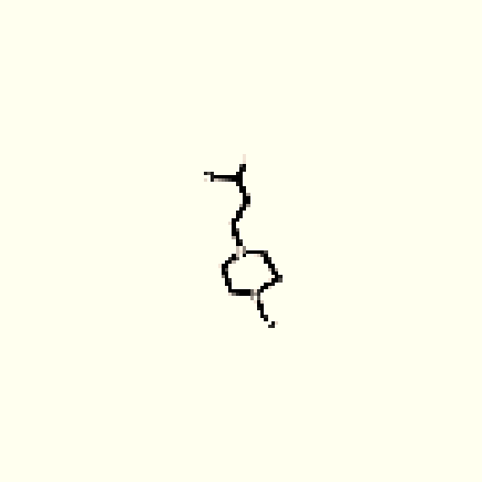 CC(=O)N1CCN(CCC(F)Cl)CC1